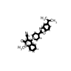 CC(C)c1ccc2oc(C3CCN(c4c(C#N)c(=O)n(C)c5ccccc45)CC3)nc2c1